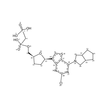 O=P(O)(O)CP(=O)(O)OC[C@@H]1CC[C@H](c2csc3c(N4CC5CCCC5C4)nc(Cl)nc23)O1